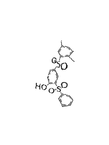 Cc1ccc(C)c(S(=O)(=O)c2ccc(O)c(S(=O)(=O)c3ccccc3)c2)c1